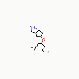 CCC(CC)OC1CCC(CN)C1